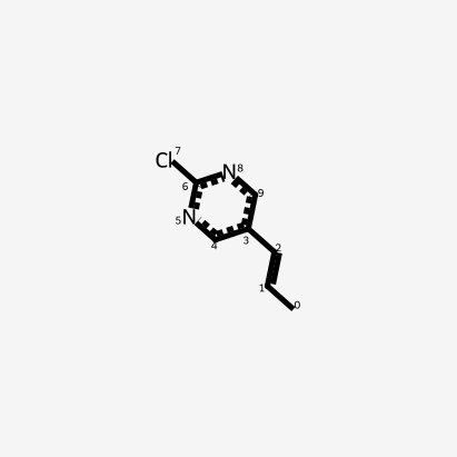 C/C=C/c1cnc(Cl)nc1